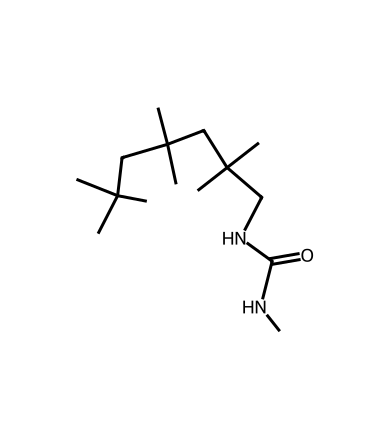 CNC(=O)NCC(C)(C)CC(C)(C)CC(C)(C)C